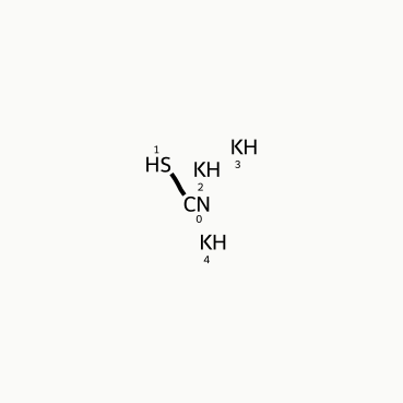 N#CS.[KH].[KH].[KH]